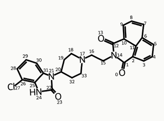 O=C1c2cccc3cccc(c23)C(=O)N1CCN1CCC(n2c(=O)[nH]c3c(Cl)cccc32)CC1